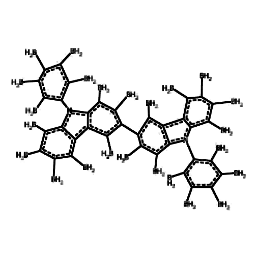 Bc1c(B)c(B)c(-n2c3c(B)c(B)c(B)c(B)c3c3c(B)c(-c4c(B)c(B)c5c(c4B)c4c(B)c(B)c(B)c(B)c4n5-c4c(B)c(B)c(B)c(B)c4B)c(B)c(B)c32)c(B)c1B